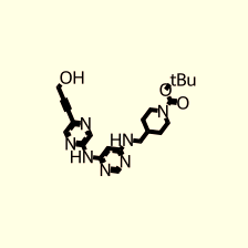 CC(C)(C)OC(=O)N1CCC(CNc2cc(Nc3cnc(C#CCO)cn3)ncn2)CC1